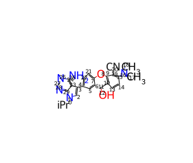 CC(C)n1cc(-c2ccc(Oc3c(CO)ccc(N(C)C)c3C#N)cc2)c2c(N)ncnc21